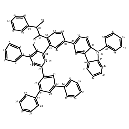 Cc1c(-c2ccccc2)nc(-c2cc(-c3ccccc3)cc(-c3ccccc3)c2)nc1-c1cc(-c2ccc3c(c2)c2ccccc2n3-c2ccccc2)ccc1C(C)C(C)c1ccccc1